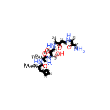 CCCC[C@](C)(NC(=O)[C@H](CC1CCC1)NC)C(=O)N[C@@H](CO)C(=O)CN[C@@H](C)C(=O)CCN[C@@H](C)C(=O)CN